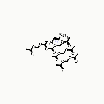 CC(=O)OCOC(C)=O.CC(=O)OCOC(C)=O.CC(=O)OCOC(C)=O.CC(=O)OCOC(C)=O.N/C=C/N